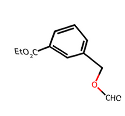 CCOC(=O)c1cccc(CO[C]=O)c1